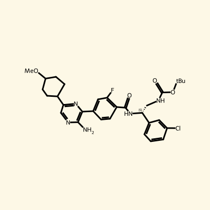 COC1CCC(c2cnc(N)c(-c3ccc(C(=O)N[C@H](CNC(=O)OC(C)(C)C)c4cccc(Cl)c4)c(F)c3)n2)CC1